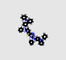 c1ccc(N(c2ccc3c(c2)c2ccccc2n3-c2ccccc2)c2ccc3c(n2)sc2nc(N(c4ccccc4)c4ccc5c(c4)c4ccccc4n5-c4ccccc4)nnc23)cc1